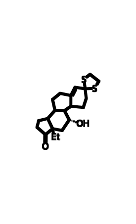 CCC12C[C@@H](O)C3C4CCC5(C=C4CCC3C1CCC2=O)SCCS5